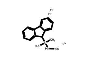 CC(C)(C)N[Si](C)(C)C1c2ccccc2-c2ccccc21.[Cl-].[Cl-].[Ti+2]